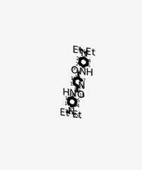 CCN(CC)c1ccc(NC(=O)c2ccc(C(=O)Nc3ccc(N(CC)CC)cc3)nc2)cc1